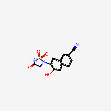 N#Cc1ccc2cc(O)c(N3CC(=O)NS3(=O)=O)cc2c1